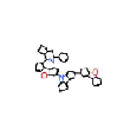 c1ccc(C2Cc3ccccc3C(c3cccc4oc5cc(-n6c7ccccc7c7cc(-c8ccc9oc%10ccccc%10c9c8)ccc76)ccc5c34)=N2)cc1